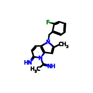 CC(=N)n1c(=N)ccc2c1cc(C)n2Cc1ccccc1F